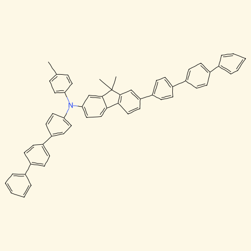 Cc1ccc(N(c2ccc(-c3ccc(-c4ccccc4)cc3)cc2)c2ccc3c(c2)C(C)(C)c2cc(-c4ccc(-c5ccc(-c6ccccc6)cc5)cc4)ccc2-3)cc1